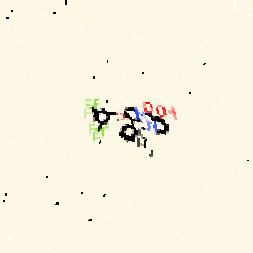 Cc1ccccc1[C@@H]1CN(C(=O)c2ncccc2O)CCC1OCc1cc(C(F)(F)F)cc(C(F)(F)F)c1